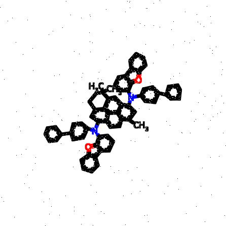 Cc1cc(N(c2ccc(-c3ccccc3)cc2)c2cccc3c2oc2ccccc23)c2cc3c4c(cc(N(c5ccc(-c6ccccc6)cc5)c5cccc6c5oc5ccccc56)c5ccc1c2c54)CCC3(C)C